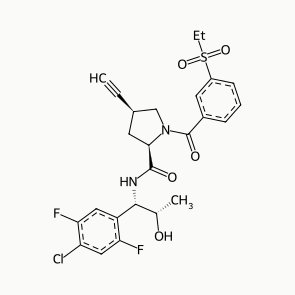 C#C[C@@H]1C[C@H](C(=O)N[C@@H](c2cc(F)c(Cl)cc2F)[C@H](C)O)N(C(=O)c2cccc(S(=O)(=O)CC)c2)C1